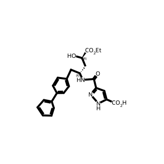 CCOC(=O)[C@H](O)C[C@@H](Cc1ccc(-c2ccccc2)cc1)NC(=O)c1cc(C(=O)O)[nH]n1